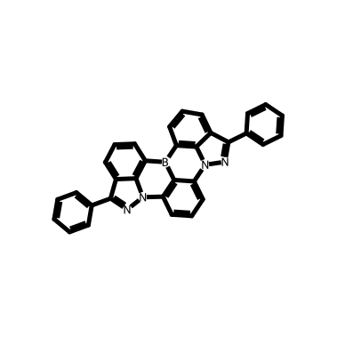 c1ccc(-c2nn3c4c(cccc24)B2c4c-3cccc4-n3nc(-c4ccccc4)c4cccc2c43)cc1